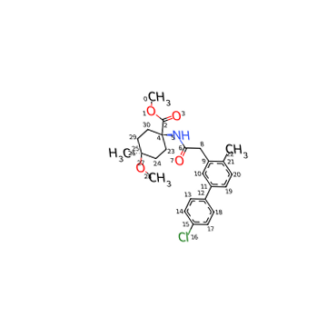 COC(=O)[C@]1(NC(=O)Cc2cc(-c3ccc(Cl)cc3)ccc2C)CC[C@@](C)(OC)CC1